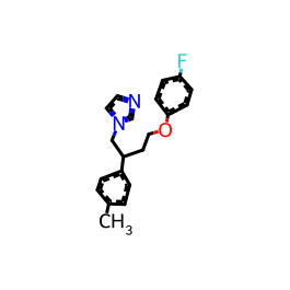 Cc1ccc(C(CCOc2ccc(F)cc2)Cn2ccnc2)cc1